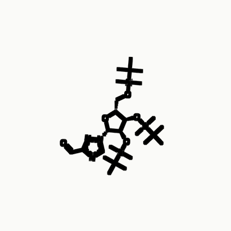 CC(C)(C)[Si](C)(C)OC[C@H]1O[C@@H](n2cnc(C=O)n2)[C@H](O[Si](C)(C)C(C)(C)C)[C@@H]1O[Si](C)(C)C(C)(C)C